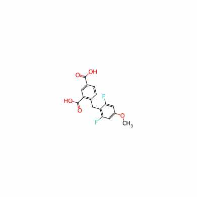 COc1cc(F)c(Cc2ccc(C(=O)O)cc2C(=O)O)c(F)c1